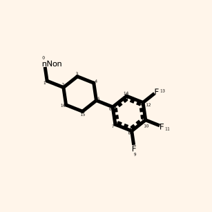 CCCCCCCCCCC1CCC(c2cc(F)c(F)c(F)c2)CC1